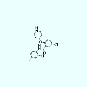 Cc1ccc(NC(=O)c2cc(Cl)ccc2OC2CCNCC2)c(Cl)c1